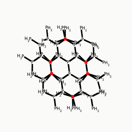 PPP(P(P)P)P(P(P)P)P(P(P(P)P)P(P)P)P(P(P(P(P)P)P(P)P)P(P(P)P)P(P)P)P(P(P(P(P)P)P(P)P)P(P(P)P)P(P)P)P(P(P(P)P)P(P)P)P(P(P)P)P(P)P